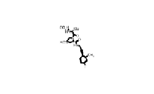 Cc1cc(F)ccc1C#CCNC(=O)[C@@H]1C[C@@H](O)CN1C(=O)[C@@H](NC(=O)O)C(C)(C)C